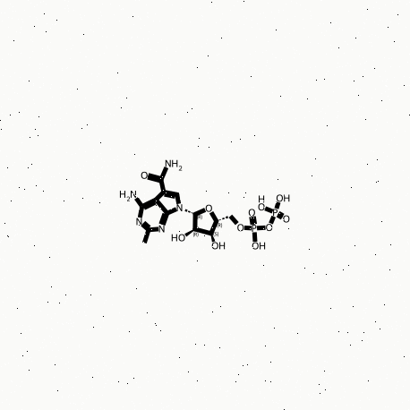 Cc1nc(N)c2c(C(N)=O)cn([C@@H]3O[C@H](COP(=O)(O)OP(=O)(O)O)[C@@H](O)[C@H]3O)c2n1